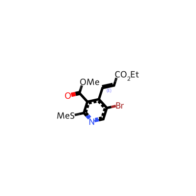 CCOC(=O)/C=C/c1c(Br)cnc(SC)c1C(=O)OC